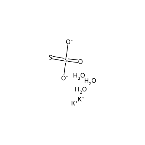 O.O.O.O=S([O-])([O-])=S.[K+].[K+]